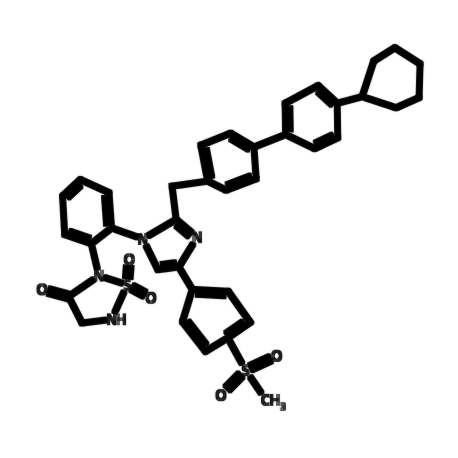 CS(=O)(=O)c1ccc(-c2cn(-c3ccccc3N3C(=O)CNS3(=O)=O)c(Cc3ccc(-c4ccc(C5CCCCC5)cc4)cc3)n2)cc1